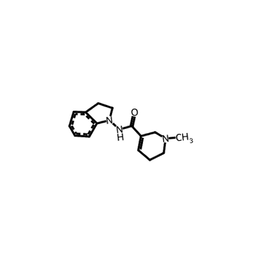 CN1CCC=C(C(=O)NN2CCc3ccccc32)C1